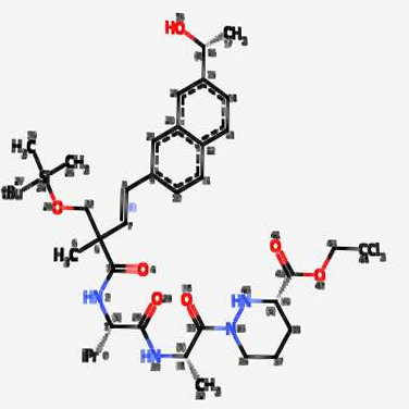 CC(C)[C@H](NC(=O)C(C)(/C=C/c1ccc2ccc([C@@H](C)O)cc2c1)CO[Si](C)(C)C(C)(C)C)C(=O)N[C@@H](C)C(=O)N1CCC[C@@H](C(=O)OCC(Cl)(Cl)Cl)N1